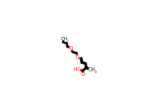 C=C(CCCOCCOCCCC)C(=O)O